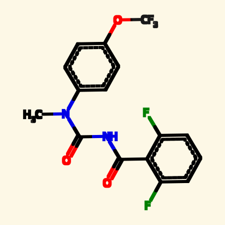 CN(C(=O)NC(=O)c1c(F)cccc1F)c1ccc(OC(F)(F)F)cc1